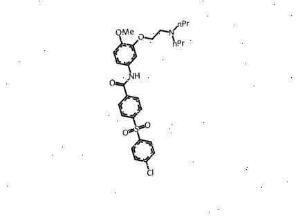 CCCN(CCC)CCOc1cc(NC(=O)c2ccc(S(=O)(=O)c3ccc(Cl)cc3)cc2)ccc1OC